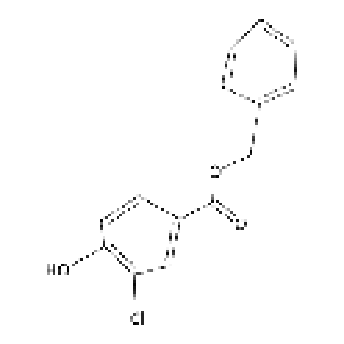 O=C(OCc1ccccc1)c1ccc(O)c(Cl)c1